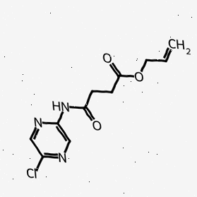 C=CCOC(=O)CCC(=O)Nc1cnc(Cl)cn1